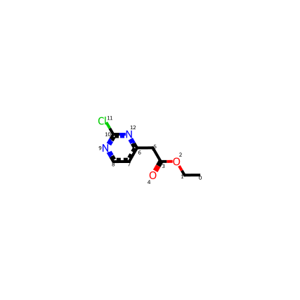 CCOC(=O)[CH]c1ccnc(Cl)n1